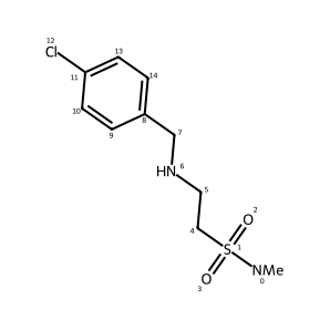 CNS(=O)(=O)CCNCc1ccc(Cl)cc1